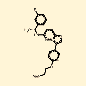 CNCCOc1ccc(-c2cnc3ccc(N[C@H](C)c4cccc(F)c4)nn23)cn1